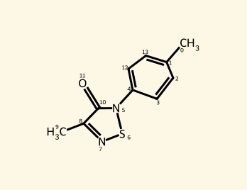 Cc1ccc(-n2snc(C)c2=O)cc1